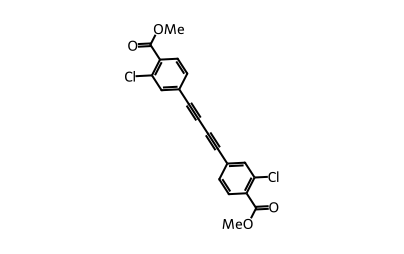 COC(=O)c1ccc(C#CC#Cc2ccc(C(=O)OC)c(Cl)c2)cc1Cl